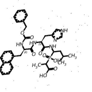 CC(C)CC(NC(=O)[C@H](Cc1c[nH]cn1)NC(=O)[C@@H](Cc1cccc2ccccc12)NC(=O)OCc1ccccc1)P(=O)(O)C(C)C(=O)O